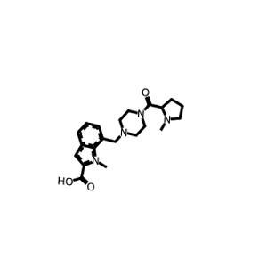 CN1CCCC1C(=O)N1CCN(Cc2cccc3cc(C(=O)O)n(C)c23)CC1